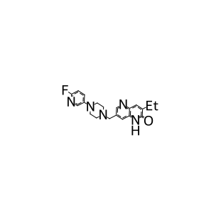 CCc1cc2ncc(CN3CCN(c4ccc(F)nc4)CC3)cc2[nH]c1=O